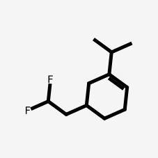 CC(C)C1=CCCC(CC(F)F)C1